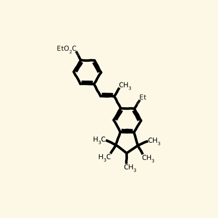 CCOC(=O)c1ccc(C=C(C)c2cc3c(cc2CC)C(C)(C)C(C)C3(C)C)cc1